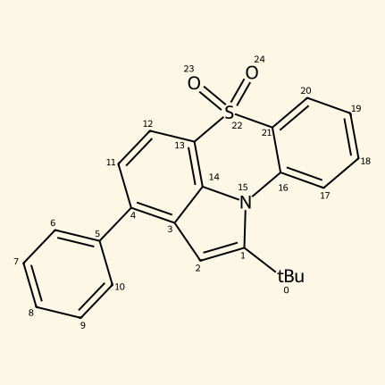 CC(C)(C)c1cc2c(-c3ccccc3)ccc3c2n1-c1ccccc1S3(=O)=O